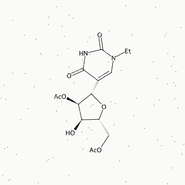 CCn1cc([C@@H]2O[C@H](COC(C)=O)[C@@H](O)[C@H]2OC(C)=O)c(=O)[nH]c1=O